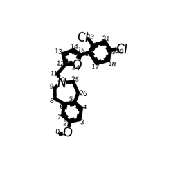 COc1ccc2c(c1)CCN(Cc1ccc(-c3ccc(Cl)cc3Cl)o1)CC2